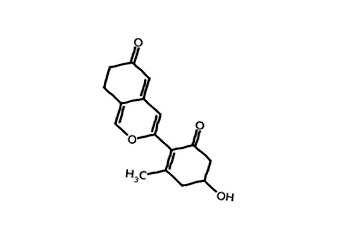 CC1=C(C2=CC3=CC(=O)CCC3=CO2)C(=O)CC(O)C1